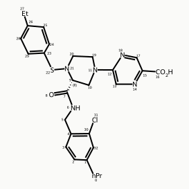 CCCc1ccc(CNC(=O)[C@H]2CN(c3cnc(C(=O)O)cn3)CCN2Sc2ccc(CC)cc2)c(Cl)c1